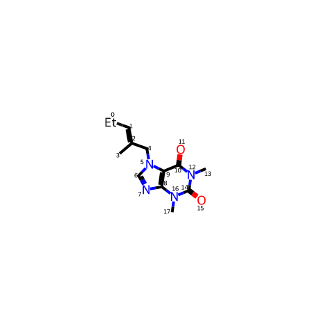 CC/C=C(\C)Cn1cnc2c1c(=O)n(C)c(=O)n2C